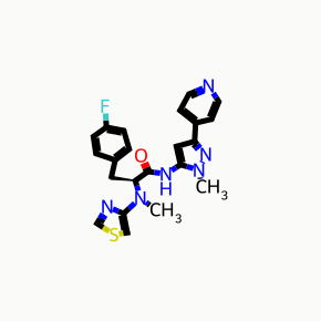 CN(c1cscn1)[C@@H](Cc1ccc(F)cc1)C(=O)Nc1cc(-c2ccncc2)nn1C